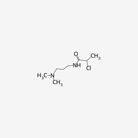 CC(Cl)C(=O)NCCCN(C)C